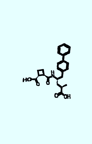 C[C@H](C[C@@H](Cc1ccc(-c2ccccc2)cc1)NC(=O)[C@@H]1CC[C@H]1C(=O)O)C(=O)O